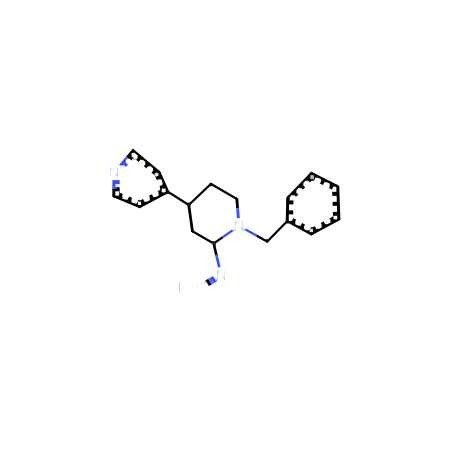 C=NC1CC(c2ccncc2)CCN1Cc1ccccc1